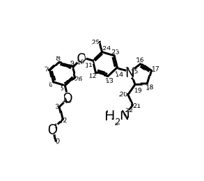 COCCOc1cccc(Oc2ccc(N3C=CCC3CCN)cc2C)c1